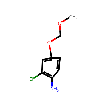 COCOc1ccc(N)c(Cl)c1